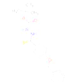 CC(C)(C)OC(=O)NNC(=S)c1ccc(OCc2ccccc2)cc1